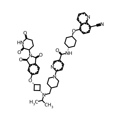 CC(C)N(CC1CCN(c2ccc(C(=O)N[C@H]3CC[C@H](Oc4ccc(C#N)c5ncccc45)CC3)cn2)CC1)[C@H]1C[C@@H](Oc2ccc3c(c2)C(=O)N(C2CCC(=O)NC2=O)C3=O)C1